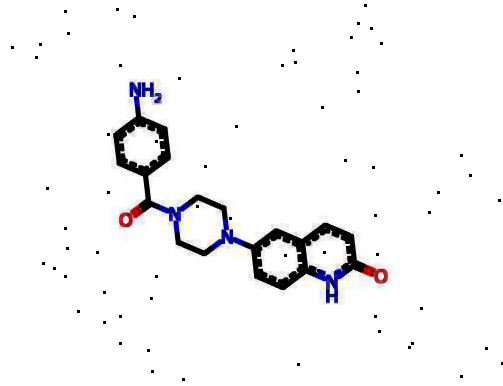 Nc1ccc(C(=O)N2CCN(c3ccc4[nH]c(=O)ccc4c3)CC2)cc1